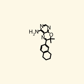 CC1(C)Oc2ncnc(N)c2N=C1c1ccc2c(c1)CCCC2